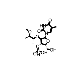 CO[C@H](C)[C@@H](C)OC1[C@@H](O[PH](=O)O)[C@@H](CO)O[C@H]1n1cc(C)c(=O)[nH]c1=O